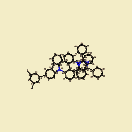 Cc1cc(C)cc(-c2ccc3c(c2)c2ccccc2n3-c2cccc(-c3cc(-c4ccccc4)nc(-c4ccccc4)n3)c2-c2ccccc2-n2c3ccccc3c3ccccc32)c1